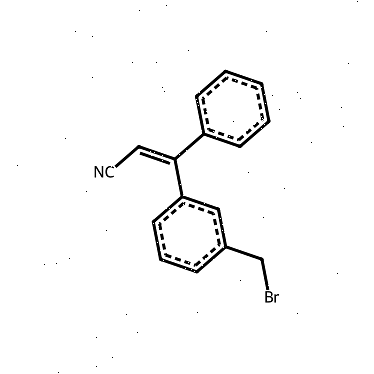 N#CC=C(c1ccccc1)c1cccc(CBr)c1